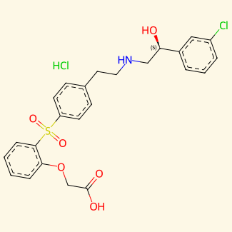 Cl.O=C(O)COc1ccccc1S(=O)(=O)c1ccc(CCNC[C@@H](O)c2cccc(Cl)c2)cc1